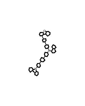 c1ccc2c(N(c3ccc(-c4ccc(-c5ccc(-n6c7ccccc7c7ccccc76)cc5)cc4)cc3)c3ccc(-c4ccc(-c5cccc6oc7ccccc7c56)cc4)cc3)cccc2c1